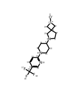 [O-][S+]1CC2(CCN(C3CCN(c4ccc(C(F)(F)F)cn4)CC3)C2)C1